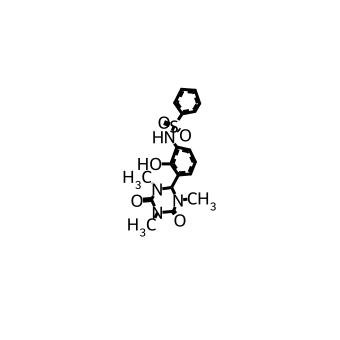 CN1C(=O)N(C)C(c2cccc(NS(=O)(=O)c3ccccc3)c2O)N(C)C1=O